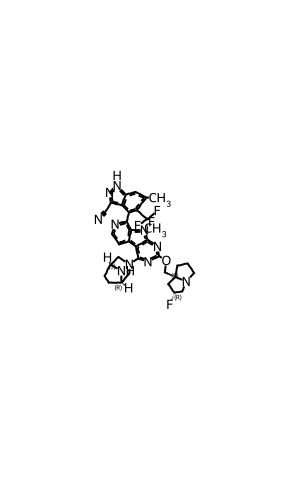 Cc1cc2[nH]nc(C#N)c2c(-c2nccc3c4c(N5C[C@H]6CC[C@@H](C5)N6)nc(OC[C@@]56CCCN5C[C@H](F)C6)nc4n(C)c23)c1C(F)(F)F